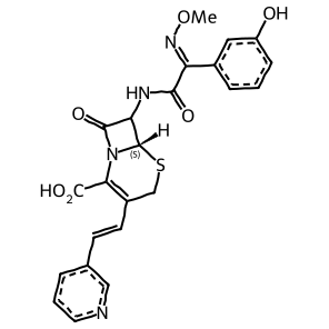 CON=C(C(=O)NC1C(=O)N2C(C(=O)O)=C(C=Cc3cccnc3)CS[C@@H]12)c1cccc(O)c1